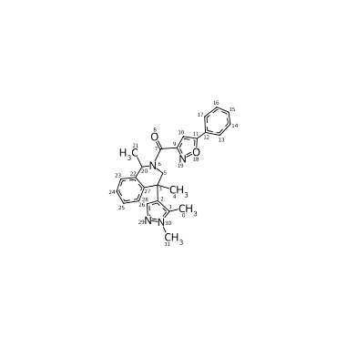 Cc1c(C2(C)CN(C(=O)c3cc(-c4ccccc4)on3)C(C)c3ccccc32)cnn1C